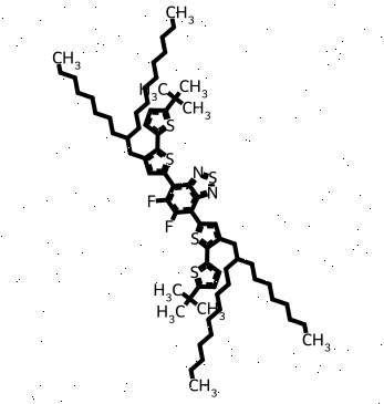 CCCCCCCCCCC(CCCCCCCC)Cc1cc(-c2c(F)c(F)c(-c3cc(CC(CCCCCCCC)CCCCCCCCCC)c(-c4ccc(C(C)(C)C)s4)s3)c3nsnc23)sc1-c1ccc(C(C)(C)C)s1